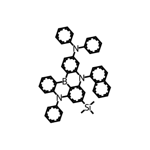 C[Si](C)(C)c1cc2c3c(c1)N(c1cccc4ccccc14)c1cc(N(c4ccccc4)c4ccccc4)ccc1B3c1ccccc1N2c1ccccc1